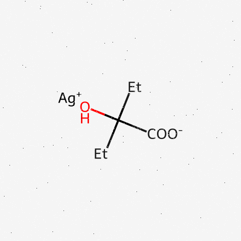 CCC(O)(CC)C(=O)[O-].[Ag+]